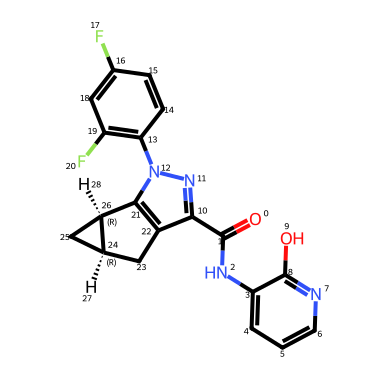 O=C(Nc1cccnc1O)c1nn(-c2ccc(F)cc2F)c2c1C[C@H]1C[C@@H]21